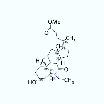 C/C=C1\C(=O)C2C(CC[C@]3(C)C([C@H](C)CCC(=O)OC)CC[C@@H]23)[C@@]2(C)CC[C@@H](O)C[C@@H]12